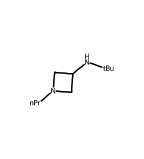 CCCN1CC(NC(C)(C)C)C1